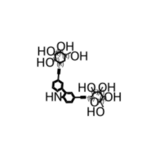 OC[C@H]1C[C@H](C#Cc2ccc3[nH]c4ccc(C#C[C@H]5O[C@H](CO)[C@@H](O)[C@H](O)[C@@H]5O)cc4c3c2)[C@@H](O)[C@@H](O)[C@@H]1O